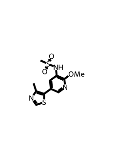 COc1ncc(-c2scnc2C)cc1NS(C)(=O)=O